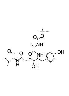 CC(NC(=O)OC(C)(C)C)C(=O)N[C@@H](Cc1ccc(O)cc1)[C@@H](O)CCC(=O)NC([C]=O)C(C)C